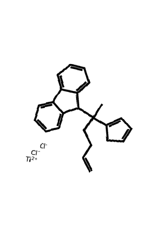 C=CCCC(C)(C1=CC=CC1)C1c2ccccc2-c2ccccc21.[Cl-].[Cl-].[Ti+2]